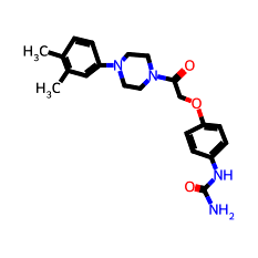 Cc1ccc(N2CCN(C(=O)COc3ccc(NC(N)=O)cc3)CC2)cc1C